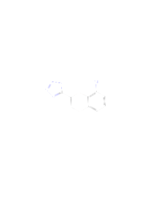 Cl.Nc1cccc2c1SC(c1nnn[nH]1)CS2